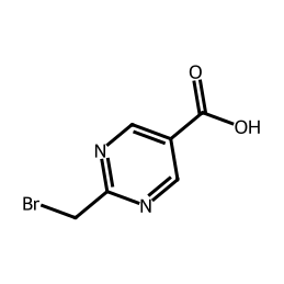 O=C(O)c1cnc(CBr)nc1